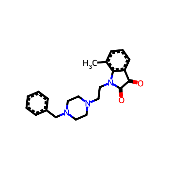 Cc1cccc2c1N(CCN1CCN(Cc3ccccc3)CC1)C(=O)C2=O